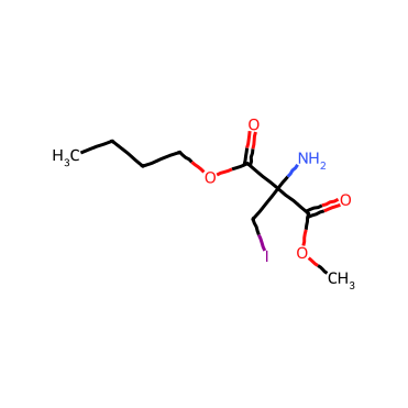 CCCCOC(=O)C(N)(CI)C(=O)OC